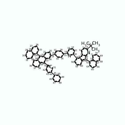 CC(C)(C)c1ccc2c3c(-c4cccc(-c5ccc(-c6ccc7c(-c8cccc9ccccc89)c8ccccc8c(-c8ccc(-c9ccccc9)cc8)c7c6)cc5)n4)cccc3n(-c3cccc4ccccc34)c2n1